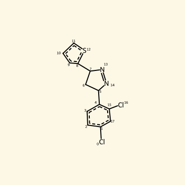 Clc1ccc(C2CC(c3cccs3)N=N2)c(Cl)c1